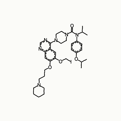 CC(C)Oc1ccc(N(C(=O)N2CCN(c3ncnc4cc(OCCCN5CCCCC5)c(OCI)cc34)CC2)C(C)C)cc1